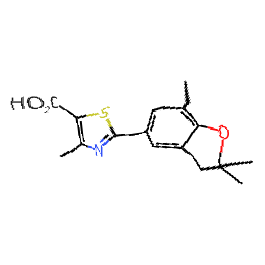 Cc1cc(-c2nc(C)c(C(=O)O)s2)cc2c1OC(C)(C)C2